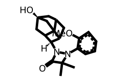 COc1ccccc1N1N([C@H]2C3CC4CC2C[C@@](O)(C4)C3)C(=O)C1(C)C